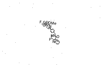 COC1=NN(c2ccc(CNC(=O)c3c(C(F)F)nc4ccccn34)cc2)CCN1S(=O)(=O)C(F)(F)F